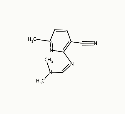 Cc1ccc(C#N)c(/N=C\N(C)C)n1